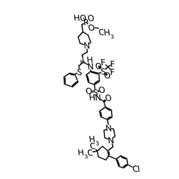 CCOP(=O)(O)CC1CCN(CC[C@H](CSc2ccccc2)Nc2ccc(S(=O)(=O)NC(=O)c3ccc(N4CCN(CC5=C(c6ccc(Cl)cc6)CCC(C)(C)C5)CC4)cc3)cc2S(=O)(=O)C(F)(F)F)CC1